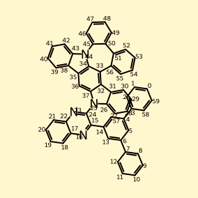 c1ccc(-c2cc(-c3ccccc3)cc(-c3nc4ccccc4nc3-n3c4ccccc4c4c5c6c(cc43)c3ccccc3n6-c3ccccc3-c3ccccc3-5)c2)cc1